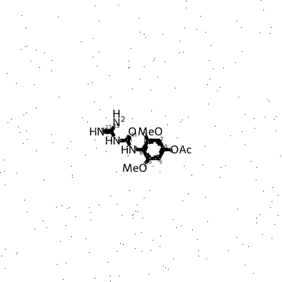 COc1cc(OC(C)=O)cc(OC)c1NC(=O)NC(=N)N